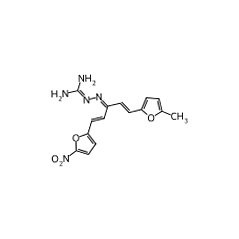 Cc1ccc(/C=C/C(/C=C/c2ccc([N+](=O)[O-])o2)=N/N=C(N)N)o1